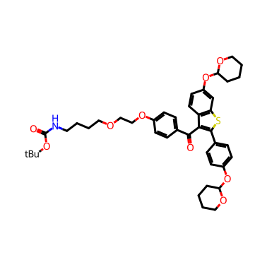 CC(C)(C)OC(=O)NCCCCOCCOc1ccc(C(=O)c2c(-c3ccc(OC4CCCCO4)cc3)sc3cc(OC4CCCCO4)ccc23)cc1